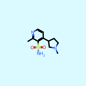 Cc1nccc(C2CCN(C)C2)c1S(N)(=O)=O